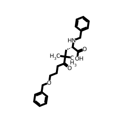 CC(C)(C[C@H](NCc1ccccc1)C(=O)O)C(=O)CCCOCc1ccccc1